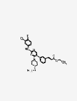 CCOC(=O)/C=C/c1cccc(-c2cnc(Nc3ccc(F)c(Cl)c3)nc2N2CCN(SC)CC2)c1